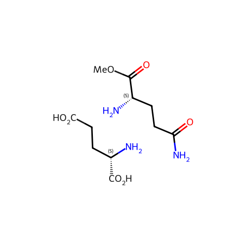 COC(=O)[C@@H](N)CCC(N)=O.N[C@@H](CCC(=O)O)C(=O)O